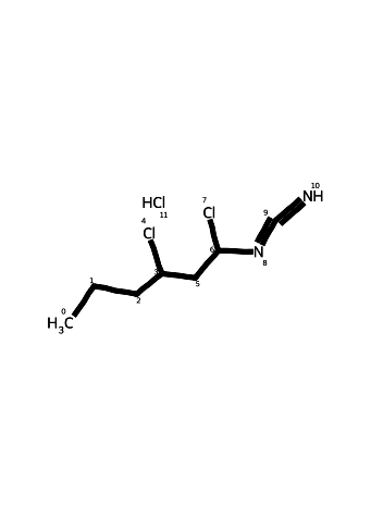 CCCC(Cl)CC(Cl)N=C=N.Cl